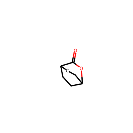 O=C1OC2CCC1CC2